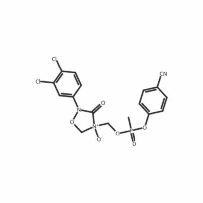 CP(=O)(OC[N+]1([O-])CON(c2ccc(Cl)c(Cl)c2)C1=O)Oc1ccc(C#N)cc1